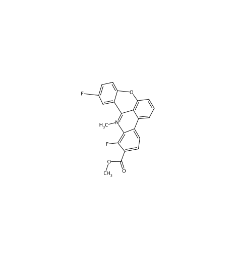 COC(=O)c1ccc2c3cccc4c3c([n+](C)c2c1F)-c1cc(F)ccc1O4